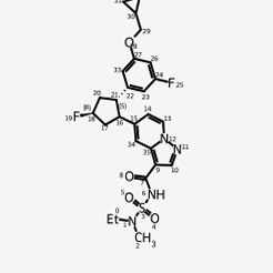 CCN(C)S(=O)(=O)NC(=O)c1cnn2ccc(C3C[C@@H](F)C[C@@H]3c3cc(F)cc(OCC4CC4)c3)cc12